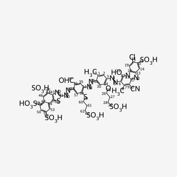 Cc1cc(N=Nc2c(C)c(C#N)c3nc4cc(S(=O)(=O)O)c(Cl)cc4n3c2O)c(OCCCS(=O)(=O)O)cc1N=Nc1cc(C=O)c(N=Nc2nc3c(S(=O)(=O)O)cc4c(S(=O)(=O)O)cc(S(=O)(=O)O)cc4c3s2)cc1SCCCS(=O)(=O)O